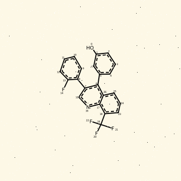 Oc1cccc(-c2c(-c3ccccc3F)cnc3c(C(F)(F)F)cccc23)c1